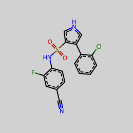 N#Cc1ccc(NS(=O)(=O)c2c[nH]cc2-c2ccccc2Cl)c(F)c1